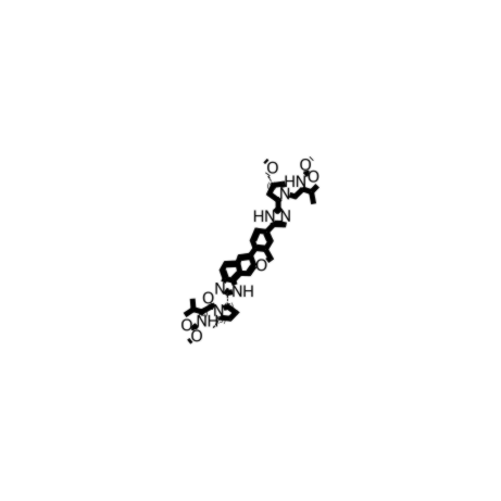 COC[C@H]1CC(c2ncc(-c3ccc4c(c3)COc3cc5c(ccc6nc([C@@H]7CC[C@H](C)N7C(=O)[C@@H](NC(=O)OC)C(C)C)[nH]c65)cc3-4)[nH]2)N(CC(NC(=O)OC)C(C)C)C1